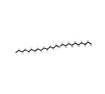 CCCCCCCCCCCCC[CH]SCCCCCCCCCC